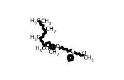 CC(=O)CCCC[SiH](CCCCCCOc1cc(C)c2c(c1)CC[C@@](C)(CCC[C@H](C)CCC[C@H](C)CCCC(C)C)O2)c1ccccc1